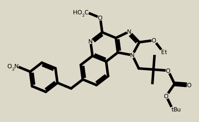 CCOc1nc2c(OC(=O)O)nc3cc(Cc4ccc([N+](=O)[O-])cc4)ccc3c2n1CC(C)(C)OC(=O)OC(C)(C)C